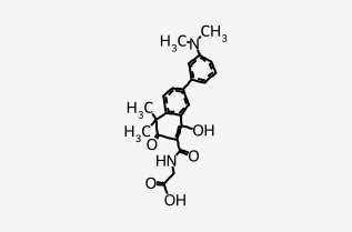 CN(C)c1cccc(-c2ccc3c(c2)C(O)=C(C(=O)NCC(=O)O)C(=O)C3(C)C)c1